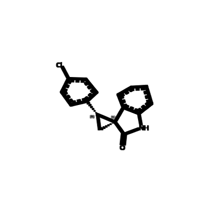 O=C1Nc2ccccc2[C@@]12C[C@@H]2c1ccc(Cl)cc1